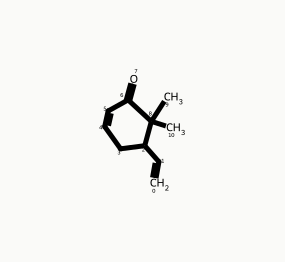 C=CC1CC=CC(=O)C1(C)C